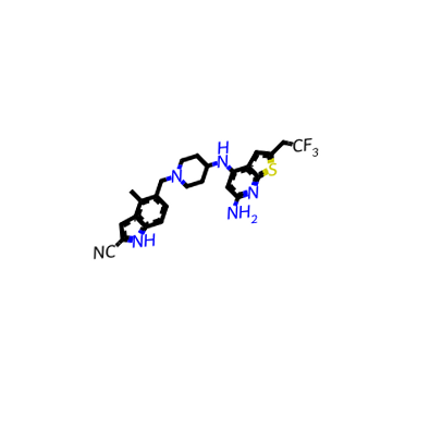 Cc1c(CN2CCC(Nc3cc(N)nc4sc(CC(F)(F)F)cc34)CC2)ccc2[nH]c(C#N)cc12